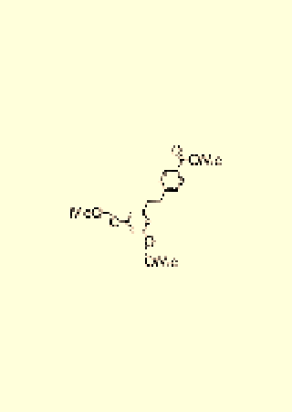 COCOc1cc(C=Cc2ccc(C(=O)OC)cc2)cc(OCOC)c1